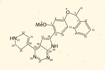 COc1cc(OC(C)c2ccccc2)ccc1-c1cc2c(C3=CCNCC3)ncnc2[nH]1